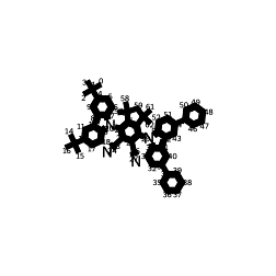 CC(C)(C)c1ccc2c(c1)c1cc(C(C)(C)C)ccc1n2-c1c(C#N)c(C#N)c(-n2c3ccc(-c4ccccc4)cc3c3cc(-c4ccccc4)ccc32)c2c1C(C)(C)CC2(C)C